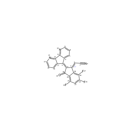 N#C/C=C1/C(=C2c3cccnc3-c3ncccc32)C(=O)c2c(F)cc(F)c(F)c21